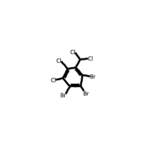 Clc1c(Cl)c(C(Cl)Cl)c(Br)c(Br)c1Br